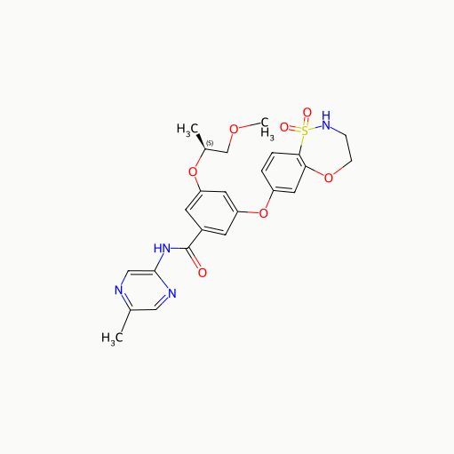 COC[C@H](C)Oc1cc(Oc2ccc3c(c2)OCCNS3(=O)=O)cc(C(=O)Nc2cnc(C)cn2)c1